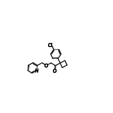 O=C(COCc1ccccn1)C1(c2ccc(Cl)cc2)CCC1